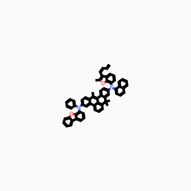 C=C/C=C\c1c(C)oc2c(N(c3ccc4c(c3)C(C)(C)c3cccc5c3c-4c(C)c3ccc(N(c4ccccc4)c4cccc6c4oc4ccccc46)cc35)c3cccc4ccccc34)cccc12